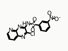 O=[N+]([O-])c1cccc(S(=O)(=O)Nc2nc3ncccc3nc2Cl)c1